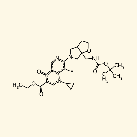 CCOC(=O)c1cn(C2CC2)c2c(F)c(N3CC4CCOC4(CNC(=O)OC(C)(C)C)C3)ncc2c1=O